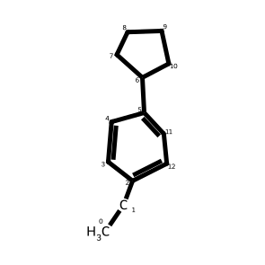 CCc1ccc(C2CCCC2)cc1